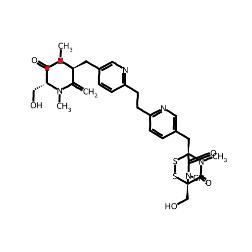 C=C1N(C)[C@@]2(CO)SS[C@]1(Cc1ccc(CCc3ccc(C[C@@]45SS[C@@](CO)(C(=O)N4C)N(C)C5=O)cn3)nc1)N(C)C2=O